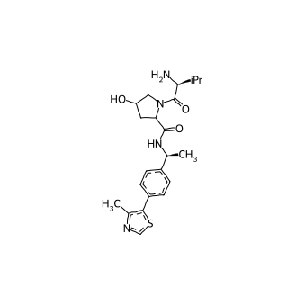 Cc1ncsc1-c1ccc([C@H](C)NC(=O)C2CC(O)CN2C(=O)[C@@H](N)C(C)C)cc1